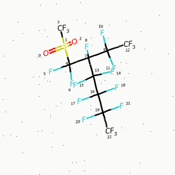 O=S(=O)(C(F)(F)F)C(F)(F)C(F)(C(F)(F)C(F)(F)F)C(F)(F)C(F)(F)C(F)(F)C(F)(F)F